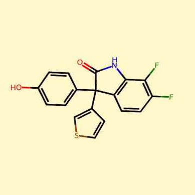 O=C1Nc2c(ccc(F)c2F)C1(c1ccc(O)cc1)c1ccsc1